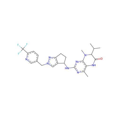 Cc1nc(NC2CCc3nn(Cc4ccc(C(F)(F)F)nc4)cc32)nc2c1NC(=O)C(C(C)C)N2C